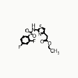 CCOC(=O)Cc1csc(NS(=O)(=O)c2ccc(F)cc2F)n1